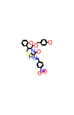 COc1ccc(COC(=O)C2=C(c3ccccc3)CS[C@@H]3[C@@H](/N=C/c4ccc([N+](=O)[O-])cc4)C(=O)N23)cc1